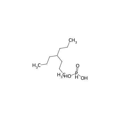 CCCC(CCC)CCC.O=[PH](O)O